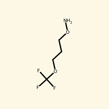 NOCCCOC(F)(F)F